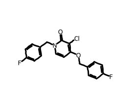 O=c1c(Cl)c(OCc2ccc(F)cc2)ccn1Cc1ccc(F)cc1